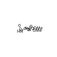 COc1cc2c(cc1OC)C1=NOC(CN3CC=C(c4c[nH]c5ccc(-c6ccccc6)cc45)CC3)C1CO2